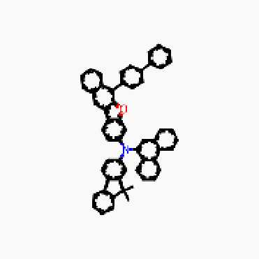 CC1(C)c2ccccc2-c2ccc(N(c3ccc4c(c3)oc3c(-c5ccc(-c6ccccc6)cc5)c5ccccc5cc34)c3cc4ccccc4c4ccccc34)cc21